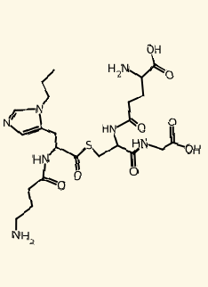 CCCn1cncc1CC(NC(=O)CCCN)C(=O)SCC(NC(=O)CCC(N)C(=O)O)C(=O)NCC(=O)O